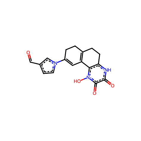 O=Cc1ccn(C2=CC3=C(CC2)CCc2[nH]c(=O)c(=O)n(O)c23)c1